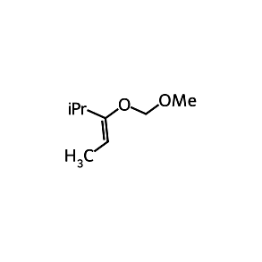 CC=C(OCOC)C(C)C